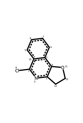 Clc1nc2c(c3ccccc13)OCC2